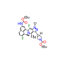 C#Cc1c(F)ccc2cc(NC(=O)OC(C)(C)C)cc(-c3nc(CC)c4c(C5[C@H]6CN(C(=O)OC(C)(C)C)C[C@@H]56)nn(C5CC5)c4c3F)c12